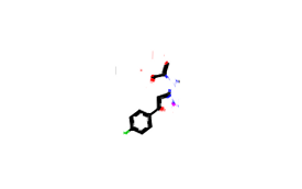 COC(=O)C(=CO)N(C)c1cc(-c2ccc(Cl)cc2)on1